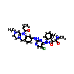 C=CC(=O)Nc1cc(Nc2ncc(Cl)c(Nc3ccccc3C(=O)C(=O)N(C)C)n2)ccc1CN1CCN(C)CC1